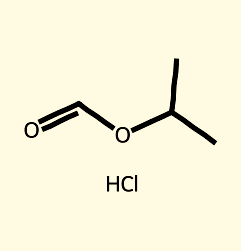 CC(C)OC=O.Cl